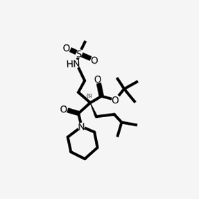 CC(C)CC[C@@](CCNS(C)(=O)=O)(C(=O)OC(C)(C)C)C(=O)N1CCCCC1